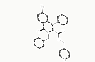 O=C(OCc1ccncc1)c1c(-c2ccccc2)c2cc(Br)ccc2c(=O)n1Cc1ccccc1